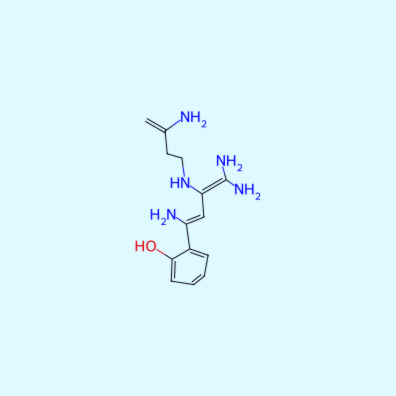 C=C(N)CCNC(/C=C(\N)c1ccccc1O)=C(N)N